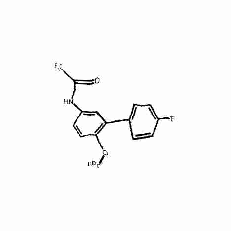 CCCOc1ccc(NC(=O)C(F)(F)F)cc1-c1ccc(F)cc1